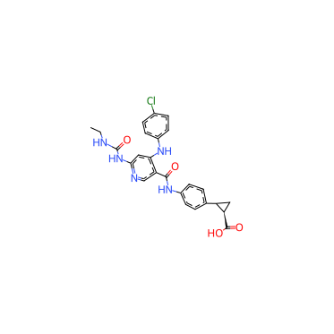 CCNC(=O)Nc1cc(Nc2ccc(Cl)cc2)c(C(=O)Nc2ccc(C3C[C@H]3C(=O)O)cc2)cn1